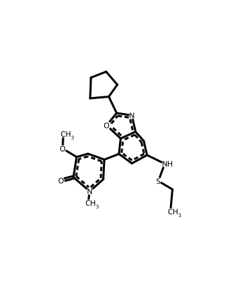 CCSNc1cc(-c2cc(OC)c(=O)n(C)c2)c2oc(C3CCCC3)nc2c1